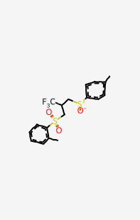 Cc1ccc([S+]([O-])CC(CS(=O)(=O)c2ccccc2C)C(F)(F)F)cc1